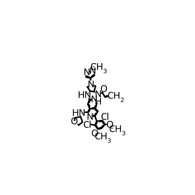 C=CC(=O)N[C@H]1CN(c2cnn(C)c2)C[C@H]1Nc1cc2c(NC3CCOC3)nc(-c3c(Cl)c(OC)cc(OC)c3Cl)cc2cn1